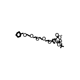 COC(=O)[C@@H]1C[C@H](OCCOCCOCCOCCOCc2ccccc2)CN1C(=O)OC(C)(C)C